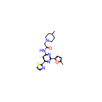 Cc1ccc(-c2nc(NC(=O)CN3CCC(C)CC3)cc(-c3nccs3)n2)o1